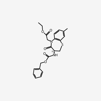 CCOC(=O)CN1C(=O)[C@H](NC(=O)OCc2ccccc2)CSc2cc(C)ccc21